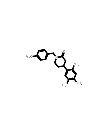 COc1ccc(CN2CCC(c3cc(C)c(N)cc3C)CC2=O)cc1